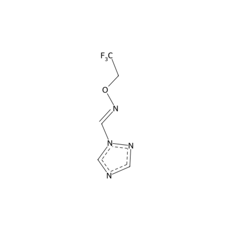 FC(F)(F)CO/N=C/n1cncn1